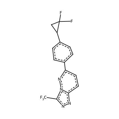 FC(F)(F)c1nnc2ccc(-c3ccc(C4CC4(F)F)cc3)nn12